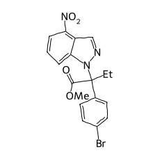 CCC(C(=O)OC)(c1ccc(Br)cc1)n1ncc2c([N+](=O)[O-])cccc21